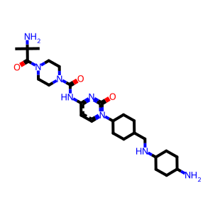 CC(C)(N)C(=O)N1CCN(C(=O)Nc2ccn(C3CCC(CNC4CCC(N)CC4)CC3)c(=O)n2)CC1